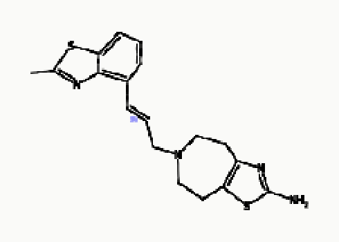 Cc1nc2c(/C=C/CN3CCc4nc(N)sc4CC3)cccc2s1